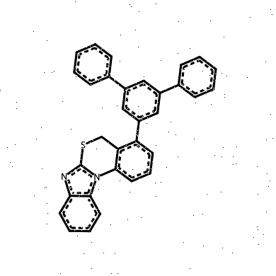 c1ccc(-c2cc(-c3ccccc3)cc(-c3cccc4c3CSc3nc5ccccc5n3-4)c2)cc1